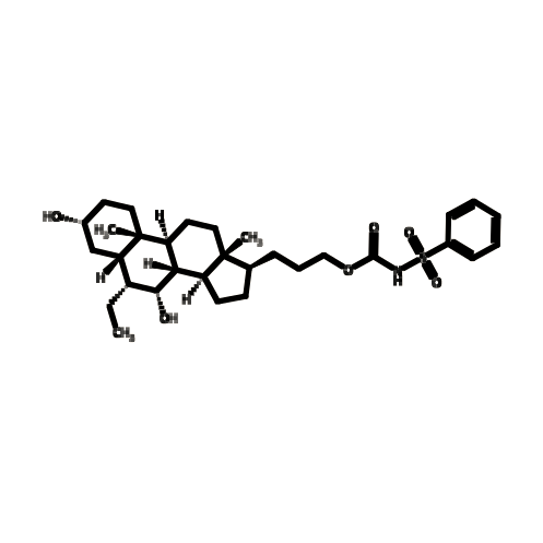 CC[C@H]1[C@@H](O)[C@@H]2[C@H](CC[C@]3(C)[C@@H](CCCOC(=O)NS(=O)(=O)c4ccccc4)CC[C@@H]23)[C@@]2(C)CC[C@@H](O)C[C@@H]12